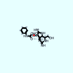 C[C@]1(O)[C@@H](OC(=O)Nc2ccccc2)CN2C(=N)NC(CO)C3NC(=N)N(O)C321